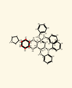 C1CCOC1.c1ccc(ON2P(Oc3ccccc3)N=P(Oc3ccccc3)(Oc3ccccc3)N(Oc3ccccc3)P2Oc2ccccc2)cc1